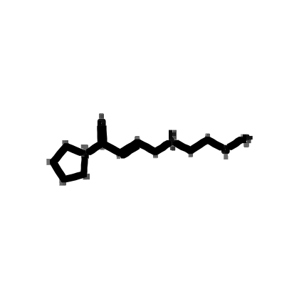 CC(C)OCCNC/C=C/C(=O)N1CCCC1